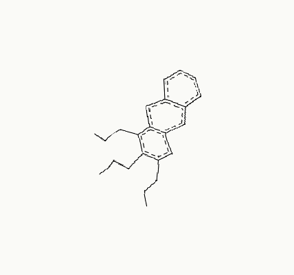 CCCc1cc2cc3ccccc3cc2c(CCC)c1CCC